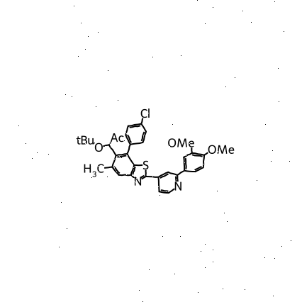 COc1ccc(-c2cc(-c3nc4cc(C)c([C@H](OC(C)(C)C)C(C)=O)c(-c5ccc(Cl)cc5)c4s3)ccn2)cc1OC